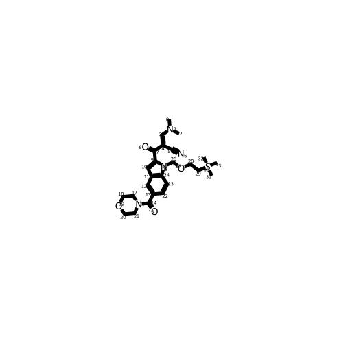 CN(C)/C=C(\C#N)C(=O)c1cc2cc(C(=O)N3CCOCC3)ccc2n1COCCS(C)(C)C